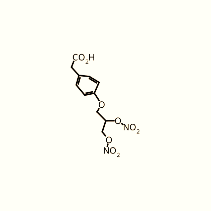 O=C(O)Cc1ccc(OCC(CO[N+](=O)[O-])O[N+](=O)[O-])cc1